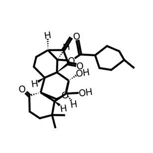 C=C1C(=O)[C@]23[C@H](OC(=O)C4CCC(C)CC4)[C@H]1CC[C@H]2[C@@]12CO[C@@]3(O)[C@@H](O)[C@@H]1C(C)(C)CCC2=O